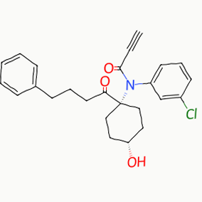 C#CC(=O)N(c1cccc(Cl)c1)[C@]1(C(=O)CCCc2ccccc2)CC[C@H](O)CC1